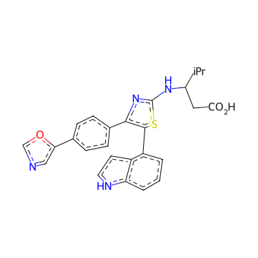 CC(C)C(CC(=O)O)Nc1nc(-c2ccc(-c3cnco3)cc2)c(-c2cccc3[nH]ccc23)s1